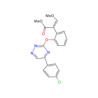 COC=C(C(=O)OC)c1ccccc1Oc1nncc(-c2ccc(Cl)cc2)n1